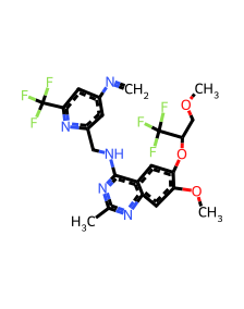 C=Nc1cc(CNc2nc(C)nc3cc(OC)c(OC(COC)C(F)(F)F)cc23)nc(C(F)(F)F)c1